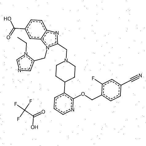 CCn1cncc1Cn1c(CN2CCC(c3cccnc3OCc3ccc(C#N)cc3F)CC2)nc2ccc(C(=O)O)cc21.O=C(O)C(F)(F)F